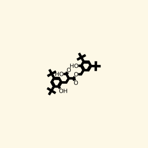 CC(C)(C)c1cc(COC(=O)C(Cc2cc(C(C)(C)C)cc(C(C)(C)C)c2O)C(=O)O)c(O)c(C(C)(C)C)c1